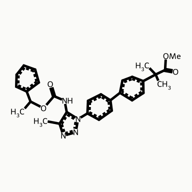 COC(=O)C(C)(C)c1ccc(-c2ccc(-n3nnc(C)c3NC(=O)OC(C)c3ccccc3)cc2)cc1